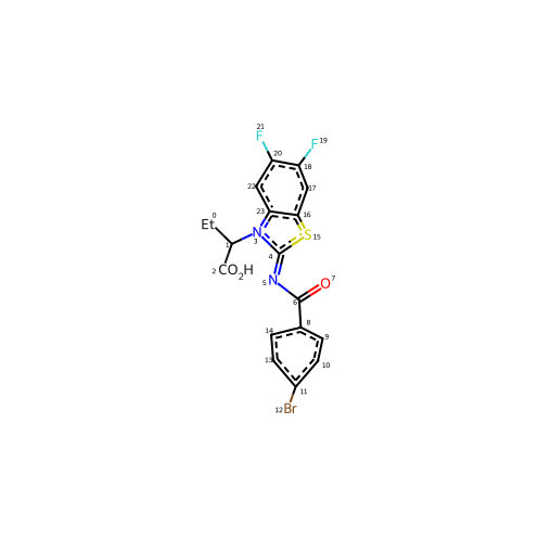 CCC(C(=O)O)n1c(=NC(=O)c2ccc(Br)cc2)sc2cc(F)c(F)cc21